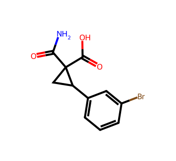 NC(=O)C1(C(=O)O)CC1c1cccc(Br)c1